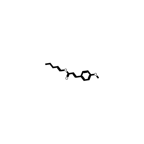 CCCC=COC(=O)/C=C/c1ccc(OC)cc1